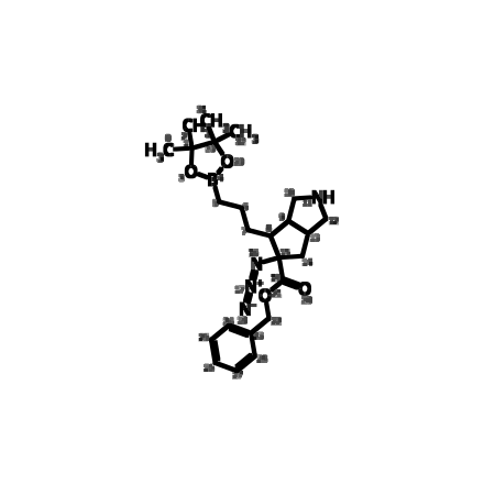 CC1(C)OB(CCCC2C3CNCC3CC2(N=[N+]=[N-])C(=O)OCc2ccccc2)OC1(C)C